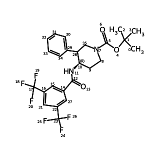 CC(C)(C)OC(=O)N1CC[C@@H](NC(=O)c2cc(C(F)(F)F)cc(C(F)(F)F)c2)C(c2ccccc2)C1